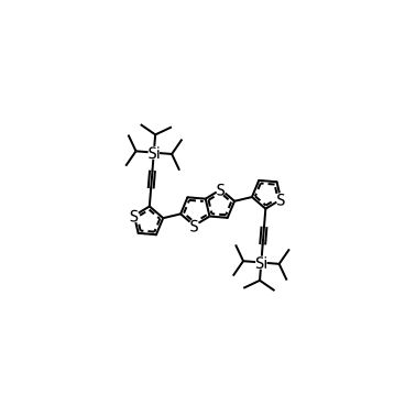 CC(C)[Si](C#Cc1sccc1-c1cc2sc(-c3ccsc3C#C[Si](C(C)C)(C(C)C)C(C)C)cc2s1)(C(C)C)C(C)C